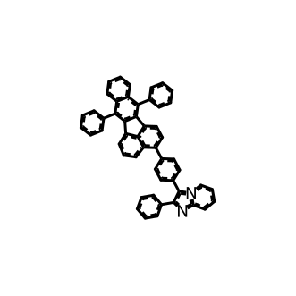 c1ccc(-c2nc3ccccn3c2-c2ccc(-c3ccc4c5c(cccc35)-c3c-4c(-c4ccccc4)c4ccccc4c3-c3ccccc3)cc2)cc1